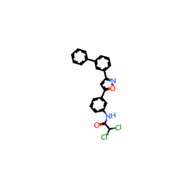 O=C(Nc1cccc(-c2cc(-c3cccc(-c4ccccc4)c3)no2)c1)C(Cl)Cl